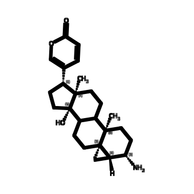 C[C@]12CC[C@H](N)[C@@H]3C[C@@]31CCC1C2CC[C@]2(C)[C@@H](c3ccc(=O)oc3)CC[C@]12O